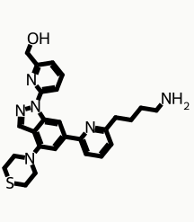 NCCCCc1cccc(-c2cc(N3CCSCC3)c3cnn(-c4cccc(CO)n4)c3c2)n1